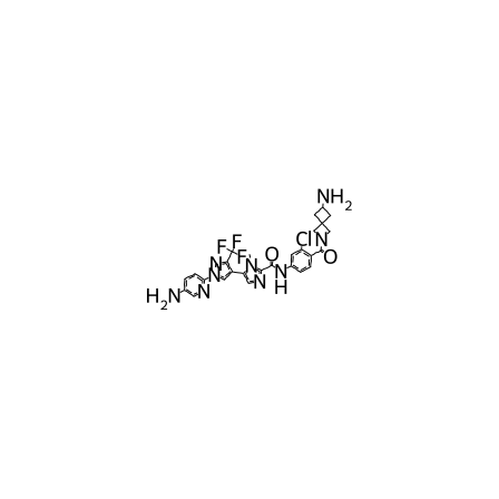 Cn1c(-c2cn(-c3ccc(N)cn3)nc2C(F)(F)F)cnc1C(=O)Nc1ccc(C(=O)N2CC3(CC(N)C3)C2)c(Cl)c1